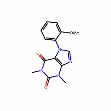 COc1ccccc1-n1cnc2c1c(=O)n(C)c(=O)n2C